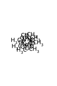 CON1P(OC)N=P(OC)(OC)N(OC)P(OC)N(OC)P1OC